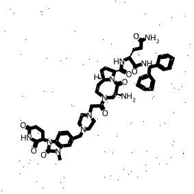 Cn1c(=O)n(C2CCC(=O)NC2=O)c2ccc(CN3CCN(CC(=O)N4CC[C@H]5CC[C@@H](C(=O)N[C@@H](CCC(N)=O)C(=O)NC(c6ccccc6)c6ccccc6)N5C(=O)[C@@H](N)C4)CC3)cc21